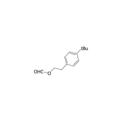 CC(C)(C)c1ccc(CCOC=O)cc1